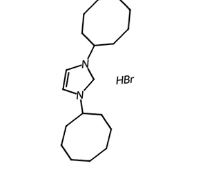 Br.C1=CN(C2CCCCCCC2)CN1C1CCCCCCC1